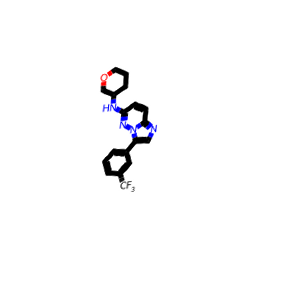 FC(F)(F)c1cccc(-c2cnc3ccc(NC4CCCOC4)nn23)c1